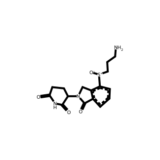 NCCC[S+]([O-])c1cccc2c1CN(C1CCC(=O)NC1=O)C2=O